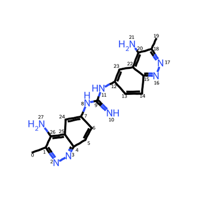 Cc1nnc2ccc(NC(=N)Nc3ccc4nnc(C)c(N)c4c3)cc2c1N